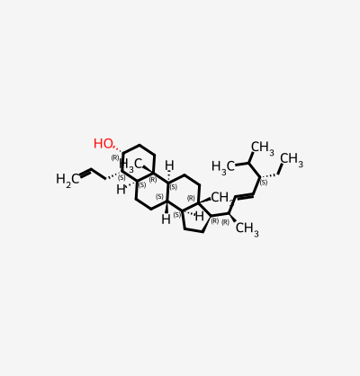 C=CC[C@@H]1[C@H](O)CC[C@@]2(C)[C@H]1CC[C@@H]1[C@@H]2CC[C@]2(C)[C@@H]([C@H](C)C=C[C@@H](CC)C(C)C)CC[C@@H]12